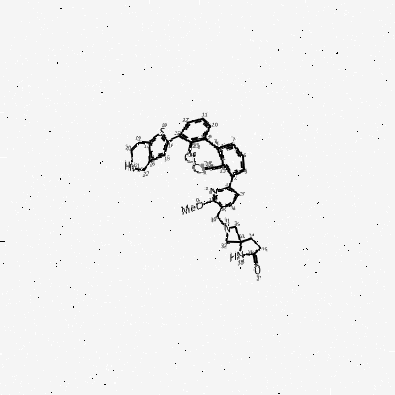 COc1nc(-c2cccc(-c3cccc(-c4cc5c(s4)CCNC5)c3Cl)c2Cl)ccc1CN1CC2(CCC(=O)N2)C1